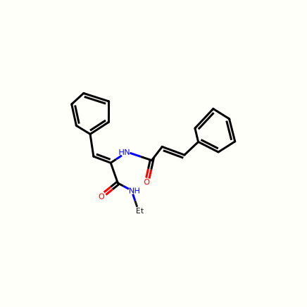 CCNC(=O)/C(=C/c1ccccc1)NC(=O)/C=C/c1ccccc1